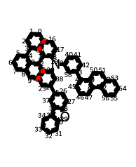 c1ccc(-c2cccc3cccc(-c4ccccc4N(c4cccc(-c5ccc6oc7ccccc7c6c5)c4)c4cccc(-c5cccc6c5ccc5ccccc56)c4)c23)cc1